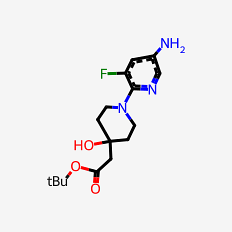 CC(C)(C)OC(=O)CC1(O)CCN(c2ncc(N)cc2F)CC1